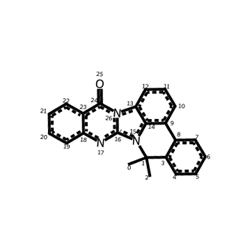 CC1(C)c2ccccc2-c2cccc3c2n1c1nc2ccccc2c(=O)n31